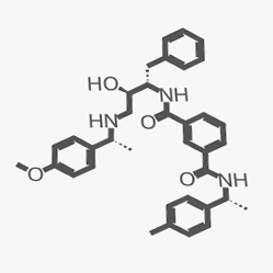 COc1ccc([C@@H](C)NC[C@@H](O)[C@H](Cc2ccccc2)NC(=O)c2cccc(C(=O)N[C@H](C)c3ccc(C)cc3)c2)cc1